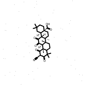 CC1(C)CC[C@]2(C(=O)O)CC[C@]3(C)[C@H](C(=O)C(=O)[C@@H]4[C@@]5(C)C(=O)C(C#N)C(=O)C(C)(C)C5CC[C@]43C)[C@H]2C1